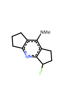 CNc1c2c(nc3c1CCC3F)CCC2